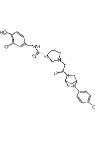 O=C(Nc1ccc(O)c(Cl)c1)[C@@H]1CCN(CC(=O)N2CC3CC2CN3c2ccc(Cl)cc2)C1